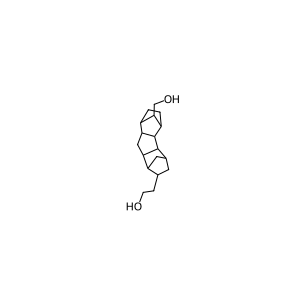 OCCC1CC2CC1C1CC3C4CCC(C4CO)C3C21